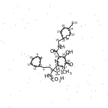 Cn1c(C(C)(CCc2ccccc2)NC(=O)O)nc(C(=O)NCc2ccc(F)cc2)c(O)c1=O